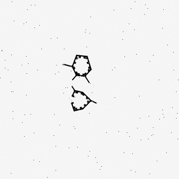 O=Cc1ccnc(Oc2c(Cl)cccc2Cl)c1